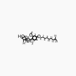 COc1cc(OCCCCCCCC(C)C)ccc1CC[C@@](N)(CO)C(C)C